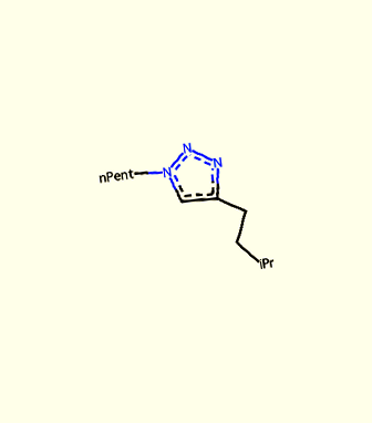 CCCCCn1cc(CCC(C)C)nn1